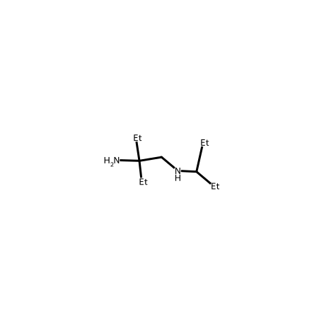 CCC(CC)NCC(N)(CC)CC